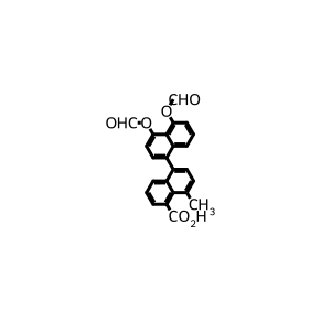 Cc1ccc(-c2ccc(OC=O)c3c(OC=O)cccc23)c2cccc(C(=O)O)c12